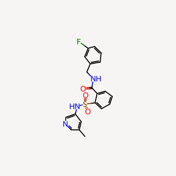 Cc1cncc(NS(=O)(=O)c2ccccc2C(=O)NCc2cccc(F)c2)c1